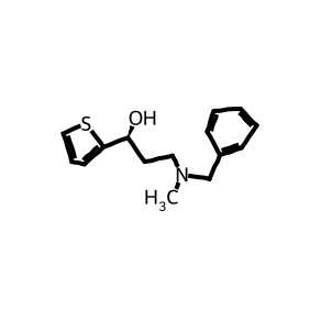 CN(CC[C@H](O)c1cccs1)Cc1ccccc1